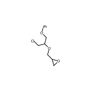 CC(C)OCC(CCl)OCC1CO1